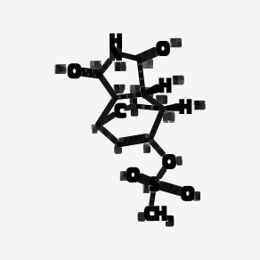 CS(=O)(=O)OC1=CC2CC[C@@H]1[C@H]1C(=O)NC(=O)C21